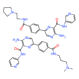 CN(C)CCCNC(=O)c1ccc(-c2cnc(N)c(C(=O)Nc3cccnc3)n2)cc1.Nc1ncc(-c2ccc(C(=O)NCCN3CCCC3)cc2)nc1C(=O)Nc1cccnc1